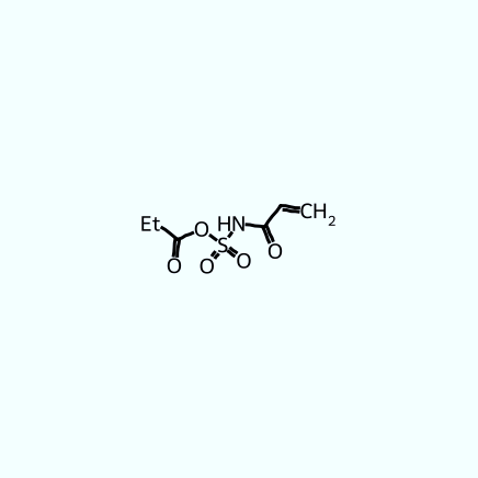 C=CC(=O)NS(=O)(=O)OC(=O)CC